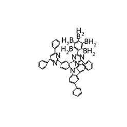 Bc1c(B)c(B)c(-c2nc(-c3ccccc3)nc(-c3cc(-c4nc(-c5ccccc5)cc(-c5ccccc5)n4)ccc3-n3c4ccccc4c4cc(-c5ccccc5)ccc43)n2)c(B)c1B